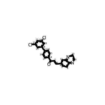 O=C(C=Cc1ccc2nccnc2c1)c1ccc(-c2cc(Cl)cc(Cl)c2)cc1